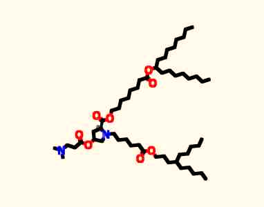 CCCCCCCCC(CCCCCCCC)OC(=O)CCCCCCCOC(=O)[C@@H]1CC(OC(=O)CCN(C)C)CN1CCCCCC(=O)OCCCC(CCCCC)CCCCC